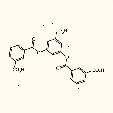 O=C(O)c1cc(OC(=O)c2cccc(C(=O)O)c2)cc(OC(=O)c2cccc(C(=O)O)c2)c1